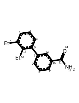 CCc1cccc(-c2cccc(C(N)=O)c2)c1CC